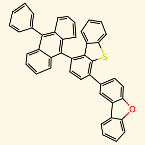 c1ccc(-c2c3ccccc3c(-c3ccc(-c4ccc5oc6ccccc6c5c4)c4sc5ccccc5c34)c3ccccc23)cc1